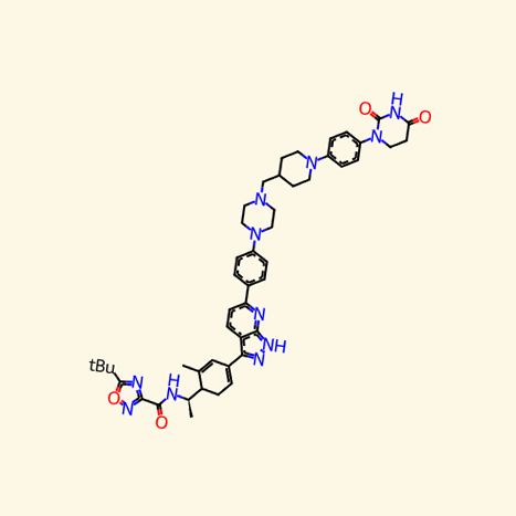 CC1=CC(c2n[nH]c3nc(-c4ccc(N5CCN(CC6CCN(c7ccc(N8CCC(=O)NC8=O)cc7)CC6)CC5)cc4)ccc23)=CCC1[C@@H](C)NC(=O)c1noc(C(C)(C)C)n1